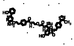 Cc1ncsc1-c1ccc(CNC(=O)[C@@H]2C[C@@H](O)CN2C(=O)[C@@H](NC(=O)COCCNC(=O)c2ccc(CCOc3cc(-c4ccccc4O)nnc3N)cc2)C(C)(C)C)cc1